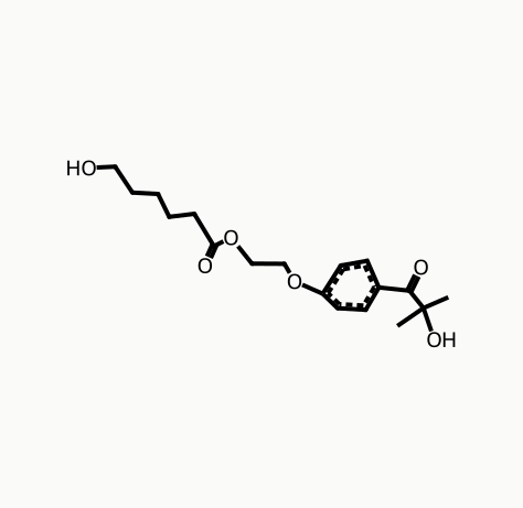 CC(C)(O)C(=O)c1ccc(OCCOC(=O)CCCCCO)cc1